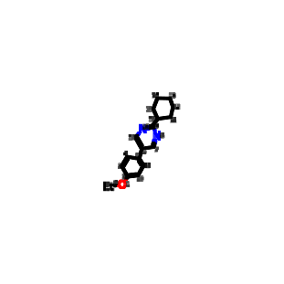 CCOc1ccc(-c2cnc(C3CCCCC3)nc2)cc1